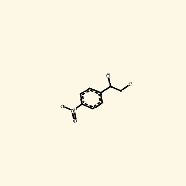 O=[N+]([O-])c1ccc(C(Cl)CCl)cc1